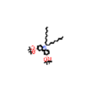 CCCCCCCCC(CCCCCCCC)n1c2ccc(B3OC(C)(C)C(C)(C)O3)cc2c2cc(B3OC(C)(C)C(C)(C)O3)ccc21